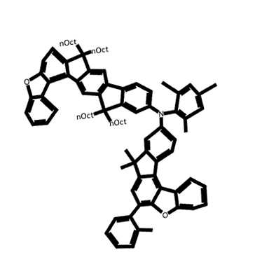 CCCCCCCCC1(CCCCCCCC)c2cc(N(c3ccc4c(c3)C(C)(C)c3cc(-c5ccccc5C)c5oc6ccccc6c5c3-4)c3c(C)cc(C)cc3C)ccc2-c2cc3c(cc21)-c1c(ccc2oc4ccccc4c12)C3(CCCCCCCC)CCCCCCCC